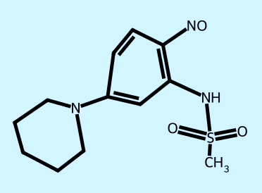 CS(=O)(=O)Nc1cc(N2CCCCC2)ccc1N=O